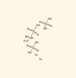 N.O.O=S(=O)(O)O.O=S(=O)(O)O.O=S(=O)(O)O.[Fe].[Fe]